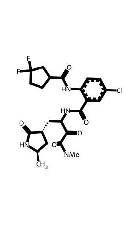 CNC(=O)C(=O)C(C[C@@H]1C[C@@H](C)NC1=O)NC(=O)c1cc(Cl)ccc1NC(=O)C1CCC(F)(F)C1